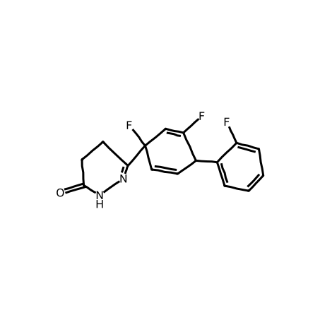 O=C1CCC(C2(F)C=CC(c3ccccc3F)C(F)=C2)=NN1